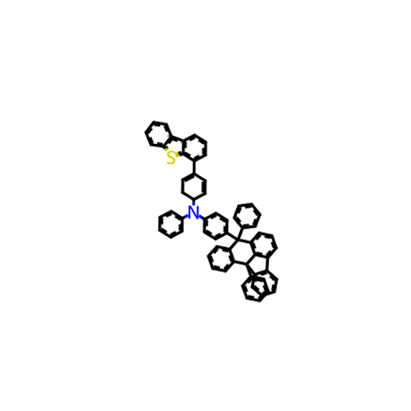 C1=CC(N(c2ccccc2)c2ccc(C3(c4ccccc4)c4ccccc4C4(c5ccccc5)c5ccccc5-c5cccc3c54)cc2)CC=C1c1cccc2c1sc1ccccc12